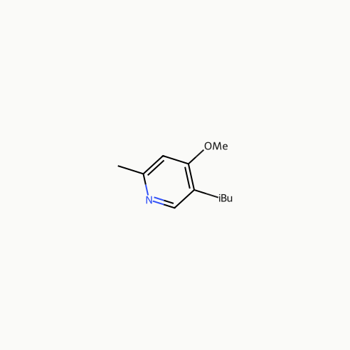 CCC(C)c1cnc(C)cc1OC